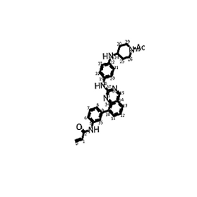 C=CC(=O)Nc1cccc(-c2cccc3cnc(Nc4ccc(NC5CCN(C(C)=O)CC5)cc4)nc23)c1